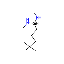 CN[SiH](CCCC(C)(C)C)NC